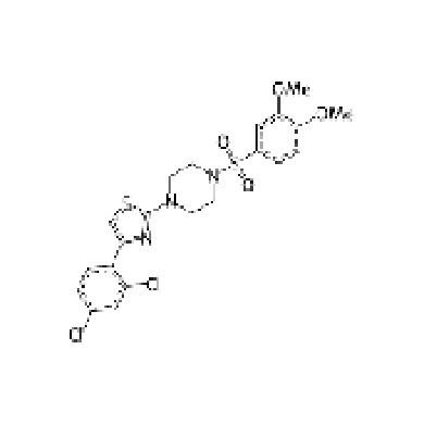 COc1ccc(S(=O)(=O)N2CCN(c3nc(-c4ccc(Cl)cc4Cl)cs3)CC2)cc1OC